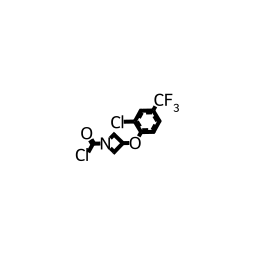 O=C(Cl)N1CC(Oc2ccc(C(F)(F)F)cc2Cl)C1